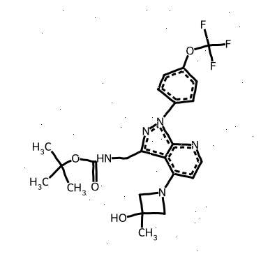 CC1(O)CN(c2ccnc3c2c(CNC(=O)OC(C)(C)C)nn3-c2ccc(OC(F)(F)F)cc2)C1